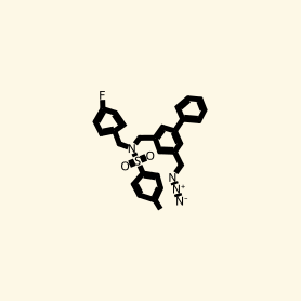 Cc1ccc(S(=O)(=O)N(Cc2ccc(F)cc2)Cc2cc(CN=[N+]=[N-])cc(-c3ccccc3)c2)cc1